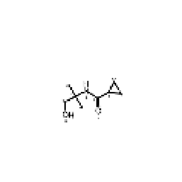 CC(C)(CO)NC(=O)C1[CH]C1